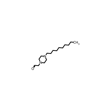 CCCCCCCCCCN1CCN(C[C]=O)CC1